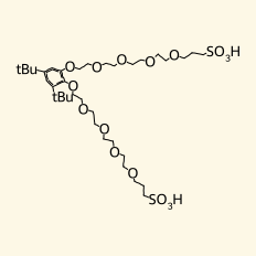 CC(C)(C)c1cc(OCCOCCOCCOCCOCCCS(=O)(=O)O)c(OCCOCCOCCOCCOCCCS(=O)(=O)O)c(C(C)(C)C)c1